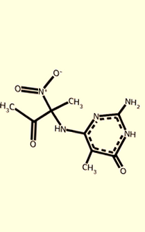 CC(=O)C(C)(Nc1nc(N)[nH]c(=O)c1C)[N+](=O)[O-]